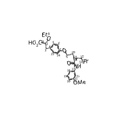 CCOC(Cc1ccc(OCCN(CC(C)C)C(=O)Nc2cccc(OC)c2)cc1)C(=O)O